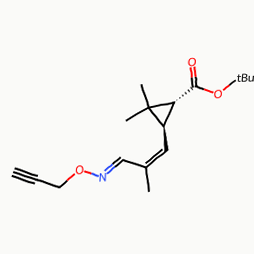 C#CCO/N=C/C(C)=C[C@@H]1[C@@H](C(=O)OC(C)(C)C)C1(C)C